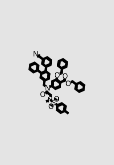 Cc1ccc(S(=O)(=O)N(C)CC(=O)N(Cc2ccc(-c3cccc(C#N)c3)c(-c3ccccc3)c2)c2ccc(C(=O)OCc3ccccc3)c(OCc3ccccc3)c2)cc1